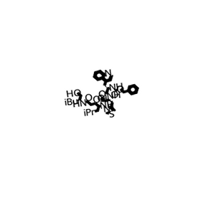 CCC(C)[C@@H](CO)NC(=O)CC(O)C(CC(C)C)NC(=O)[C@H](Cc1cscn1)NC(=O)[C@H](Cc1ccnc2ccccc12)NC(=O)OCc1ccccc1